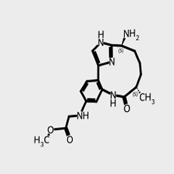 COC(=O)CNc1ccc2c(c1)NC(=O)[C@@H](C)CCC[C@H](N)c1nc-2c[nH]1